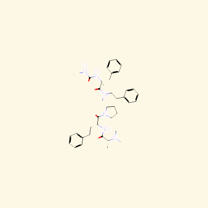 CCNC(=O)N[C@H](Cc1ccccc1)C(=O)N(CCc1ccccc1)C[C@@H]1CCCN1C(=O)[C@H](CCc1ccccc1)NC(=O)[C@H](C)N(C)C